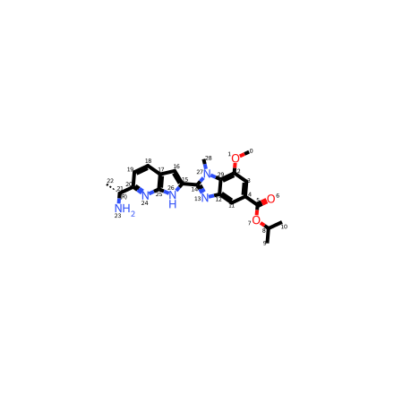 COc1cc(C(=O)OC(C)C)cc2nc(-c3cc4ccc([C@@H](C)N)nc4[nH]3)n(C)c12